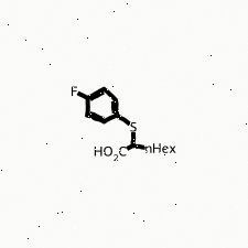 CCCCCCC(Sc1ccc(F)cc1)C(=O)O